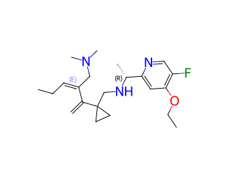 C=C(/C(=C\CC)CN(C)C)C1(CN[C@H](C)c2cc(OCC)c(F)cn2)CC1